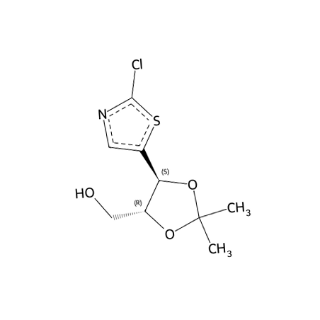 CC1(C)O[C@H](c2cnc(Cl)s2)[C@@H](CO)O1